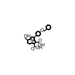 O=C(O)c1c(C(=O)O)c2c(-c3ccc(OCc4ccccc4)cc3)cc3c(CO)ccc1n32